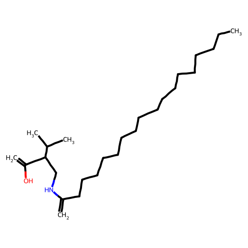 C=C(CCCCCCCCCCCCCCCCC)NCC(C(=C)O)C(C)C